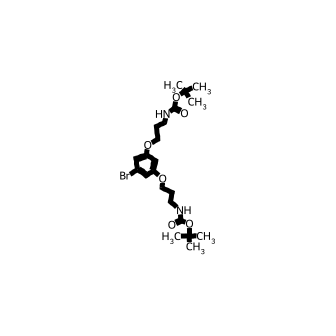 CC(C)(C)OC(=O)NCCCOc1cc(Br)cc(OCCCNC(=O)OC(C)(C)C)c1